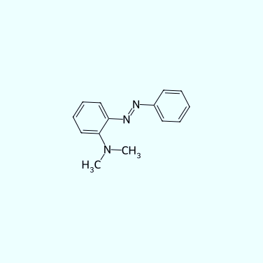 CN(C)c1ccccc1N=Nc1ccccc1